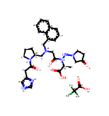 C[C@@H](C(=O)O)N(NN1CCC(=O)C1)C(=O)CN(Cc1cccc2ccccc12)C[C@@H]1CCCN1C(=O)Cc1c[nH]cn1.O=C(O)C(F)(F)F